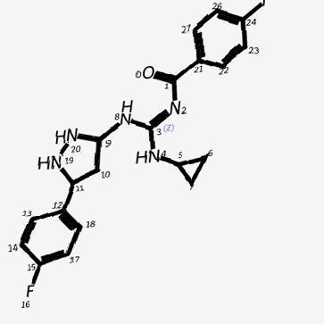 O=C(/N=C(/NC1CC1)NC1CC(c2ccc(F)cc2)NN1)c1ccc(F)cc1